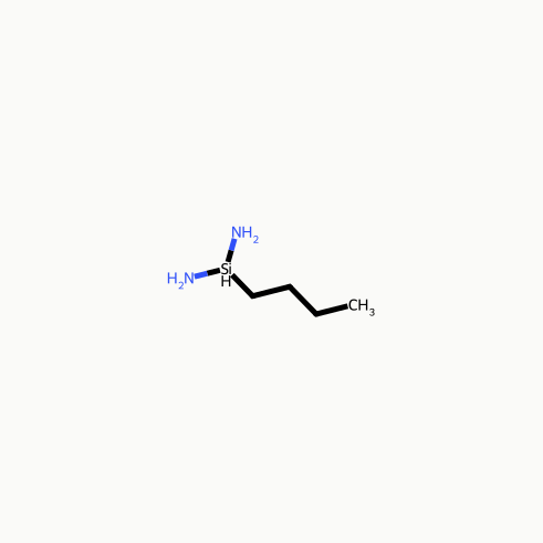 CCCC[SiH](N)N